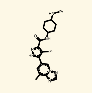 Cc1cc(-c2[nH]nc(C(=O)NC3CCC(NC(C)C)CC3)c2C(C)C)cn2ncnc12